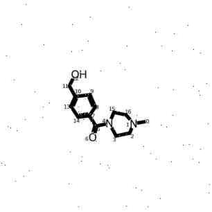 CN1CCN(C(=O)c2ccc(CO)cc2)CC1